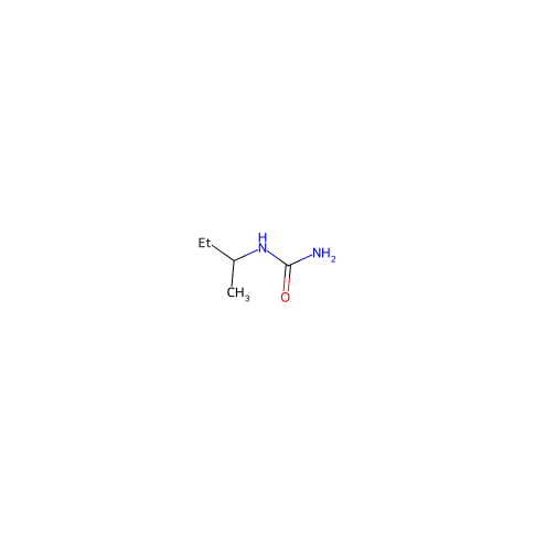 [CH2]CC(C)NC(N)=O